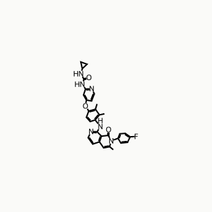 Cc1c(Nc2nccc3cc(C)n(-c4ccc(F)cc4)c(=O)c23)ccc(Oc2ccnc(NC(=O)NC3CC3)c2)c1C